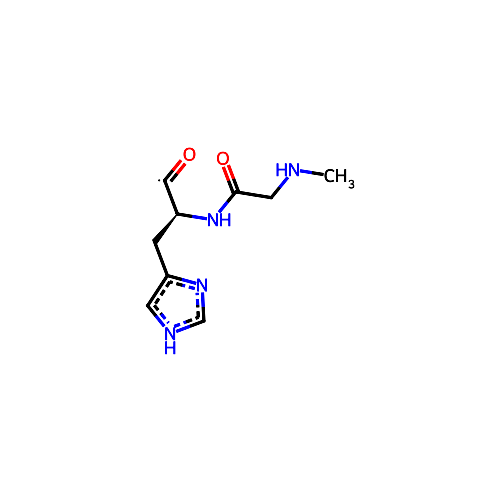 CNCC(=O)N[C@H]([C]=O)Cc1c[nH]cn1